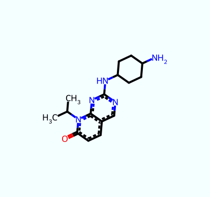 CC(C)n1c(=O)ccc2cnc(NC3CCC(N)CC3)nc21